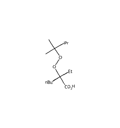 CCCCC(CC)(OOC(C)(C)C(C)C)C(=O)O